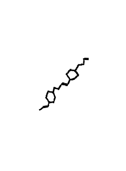 C=CCCC1CCC(C=CCCC2CCC(C=CC)CC2)CC1